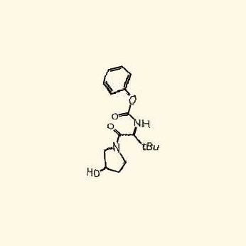 CC(C)(C)C(NC(=O)Oc1ccccc1)C(=O)N1CCC(O)C1